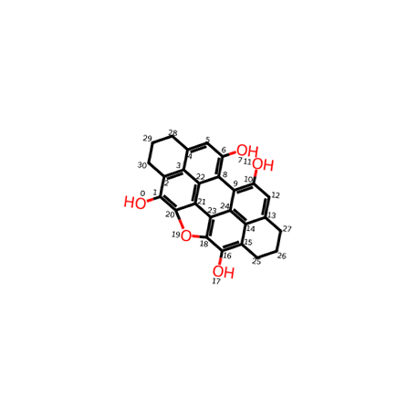 Oc1c2c3c(cc(O)c4c5c(O)cc6c7c(c(O)c8oc1c(c34)c8c75)CCC6)CCC2